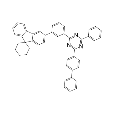 c1ccc(-c2ccc(-c3nc(-c4ccccc4)nc(-c4cccc(-c5ccc6c(c5)-c5ccccc5C65CCCCC5)c4)n3)cc2)cc1